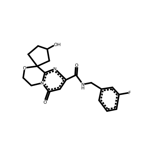 O=C(NCc1cccc(F)c1)c1cc(=O)n2c(n1)C1(CCC(O)C1)OCC2